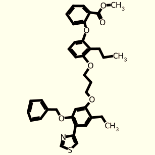 CCCc1c(OCCCOc2cc(OCc3ccccc3)c(-c3cscn3)cc2CC)cccc1Oc1ccccc1C(=O)OC